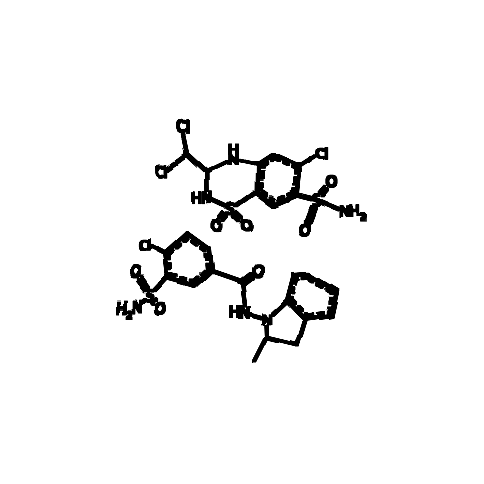 CC1Cc2ccccc2N1NC(=O)c1ccc(Cl)c(S(N)(=O)=O)c1.NS(=O)(=O)c1cc2c(cc1Cl)NC(C(Cl)Cl)NS2(=O)=O